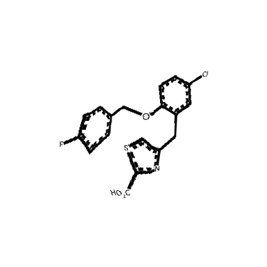 O=C(O)c1nc(Cc2cc(Cl)ccc2OCc2ccc(F)cc2)cs1